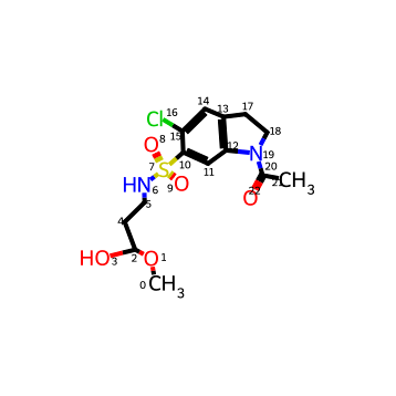 COC(O)CCNS(=O)(=O)c1cc2c(cc1Cl)CCN2C(C)=O